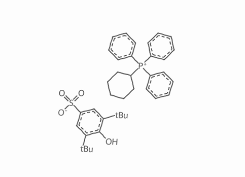 CC(C)(C)c1cc(S(=O)(=O)[O-])cc(C(C)(C)C)c1O.c1ccc([P+](c2ccccc2)(c2ccccc2)C2CCCCC2)cc1